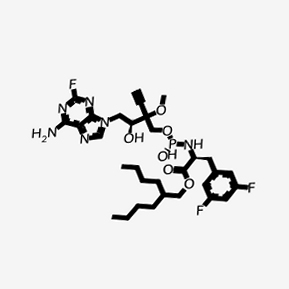 C#CC(CO[PH](=O)N[C@@H](Cc1cc(F)cc(F)c1)C(=O)OCC(CCCC)CCCC)(OC)[C@@H](O)Cn1cnc2c(N)nc(F)nc21